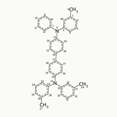 Cc1cccc(N(c2ccccc2)c2ccc(-c3ccc(N(c4cccc(C)c4)c4cccc(C)c4)cc3)cc2)c1